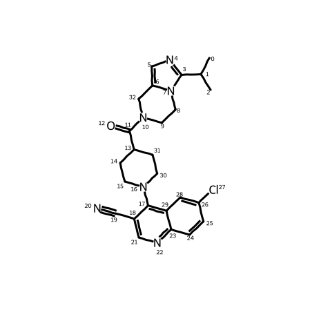 CC(C)c1ncc2n1CCN(C(=O)C1CCN(c3c(C#N)cnc4ccc(Cl)cc34)CC1)C2